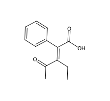 CCC(C(C)=O)=C(C(=O)O)c1ccccc1